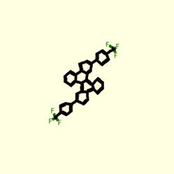 FC(F)(F)c1ccc(-c2ccc3c4ccccc4c4c5cc(-c6ccc(C(F)(F)F)cc6)ccc5c5ccccc5c4c3c2)cc1